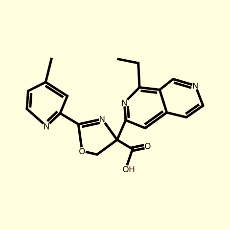 CCc1nc(C2(C(=O)O)COC(c3cc(C)ccn3)=N2)cc2ccncc12